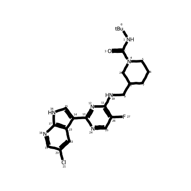 CC(C)(C)NC(=O)N1CCCC(CNc2nc(-c3c[nH]c4ncc(Cl)cc34)ncc2F)C1